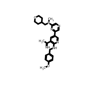 COc1ccc(CNc2ncc(-c3cncc(N(C)CC4CCOCC4)n3)cc2C(C)=N)cc1